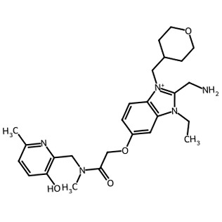 CCn1c(CN)[n+](CC2CCOCC2)c2ccc(OCC(=O)N(C)Cc3nc(C)ccc3O)cc21